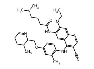 CCOc1cc2ncc(C#N)c(Nc3ccc(OCC4N=CCCC4C)cc3C)c2cc1NC(=O)CCCN(C)C